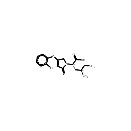 CC[C@@H](C)C[C@@H](C(=O)O)N1CC(Oc2ccccc2Cl)=CC1=O